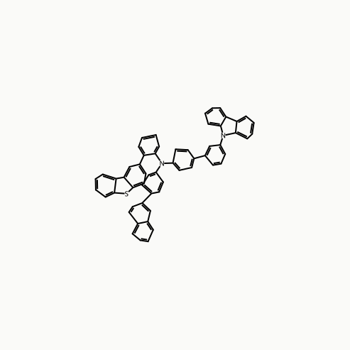 c1cc(-c2ccc(N(c3ccc(-c4ccc5ccccc5c4)cc3)c3ccccc3-c3ccc4sc5ccccc5c4c3)cc2)cc(-n2c3ccccc3c3ccccc32)c1